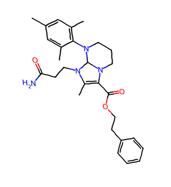 CC1=C(C(=O)OCCc2ccccc2)N2CCCN(c3c(C)cc(C)cc3C)C2N1CCC(N)=O